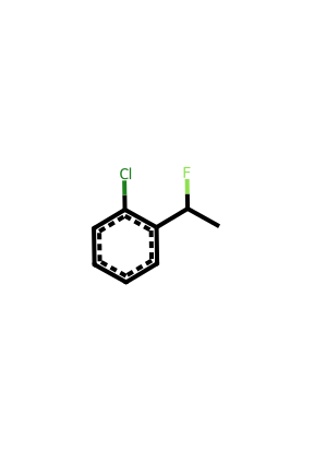 CC(F)c1ccccc1Cl